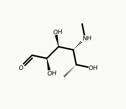 CN[C@@H]([C@H](O)[C@@H](O)C=O)[C@@H](C)O